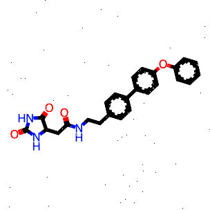 O=C(CC1NC(=O)NC1=O)NCCc1ccc(-c2ccc(Oc3ccccc3)cc2)cc1